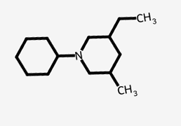 CCC1CC(C)CN(C2CCCCC2)C1